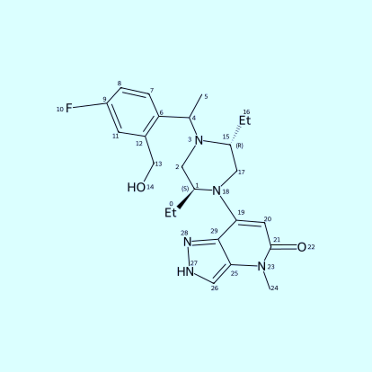 CC[C@H]1CN(C(C)c2ccc(F)cc2CO)[C@H](CC)CN1c1cc(=O)n(C)c2c[nH]nc12